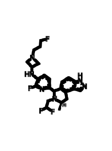 C[C@@H]1Cc2c(ccc3[nH]ncc23)C(c2ccc(NC3CN(CCCF)C3)c(F)n2)N1CC(F)F